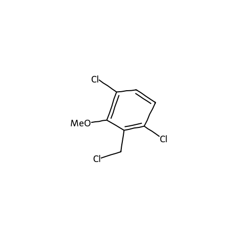 COc1c(Cl)ccc(Cl)c1CCl